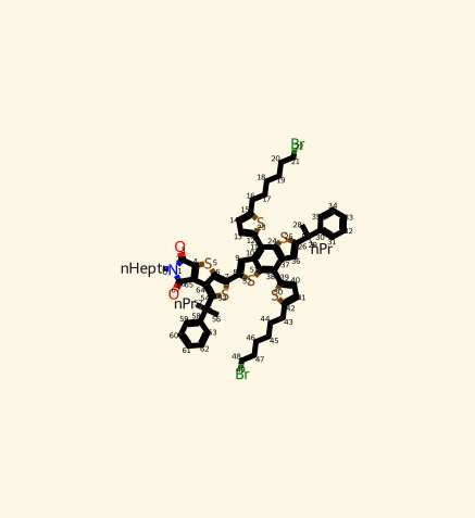 CCCCCCCN1C(=O)c2sc3c(-c4cc5c(-c6ccc(CCCCCCBr)s6)c6sc([C@](C)(CCC)c7ccccc7)cc6c(-c6ccc(CCCCCCBr)s6)c5s4)sc(C(C)(CCC)c4ccccc4)c3c2C1=O